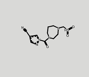 N#Cc1cnn(C(=O)N2CCCN(C[SH](=O)=O)CC2)c1